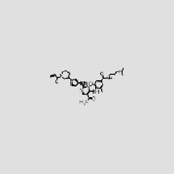 C=CC(=O)N1CCCC(n2cc(Nc3ncc(C(N)=O)c(Nc4c(C)cc(C(=O)NCCCN(C)C)cc4OC)n3)cn2)C1